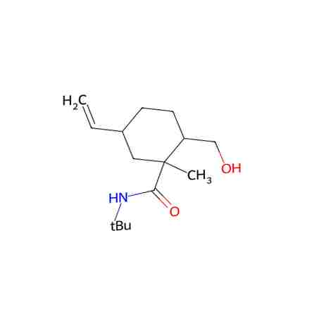 C=CC1CCC(CO)C(C)(C(=O)NC(C)(C)C)C1